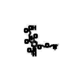 CC(=O)Nc1cc2c(cc1OCCOCCN(C)C)C(=O)N(CCC(=O)O)C2=O